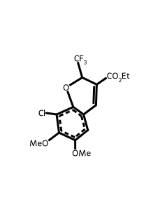 CCOC(=O)C1=Cc2cc(OC)c(OC)c(Cl)c2OC1C(F)(F)F